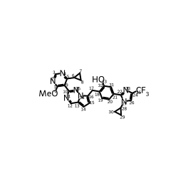 COc1ncnc(C2CC2)c1-c1ncc2ccc(Cc3ccc(-c4nc(C(F)(F)F)cn4C4CC4)cc3O)n2n1